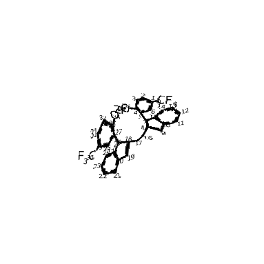 FC(F)(F)c1ccc2c(c1)C1C(=Cc3ccccc31)CCC1=Cc3ccccc3C1c1cc(C(F)(F)F)ccc1[O][Zr][O]2